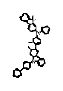 CC1CC(N(c2ccccc2)c2ccc3c(c2)C(C)(C)c2ccccc2-3)=CC=C1C1=Cc2c(n(-c3ccc(-c4ccccc4)cc3)c3ccccc23)CC1C